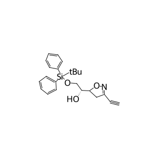 C#CC1=NOC([C@H](O)CO[Si](c2ccccc2)(c2ccccc2)C(C)(C)C)C1